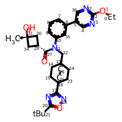 CCOc1ncc(-c2cccc(N(CC34CCC(c5noc(C(C)(C)C)n5)(CC3)CC4)C(=O)[C@H]3C[C@@](C)(O)C3)c2)cn1